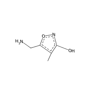 Cc1c(O)noc1CN